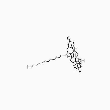 C[C@]12CCC(=O)C=C1C[C@@H](CCCCCCCCCCCCCI)[C@@H]1[C@@H]2CC[C@@]2(C)[C@H]1CC[C@@]2(O)C(F)(F)C(F)(F)F